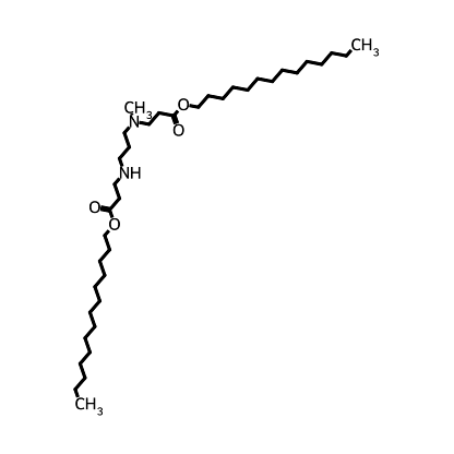 CCCCCCCCCCCCCCOC(=O)CCNCCCN(C)CCC(=O)OCCCCCCCCCCCCCC